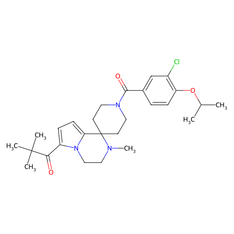 CC(C)Oc1ccc(C(=O)N2CCC3(CC2)c2ccc(C(=O)C(C)(C)C)n2CCN3C)cc1Cl